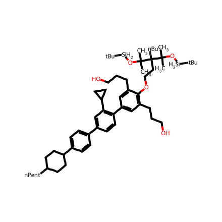 CCCCCC1CCC(c2ccc(-c3ccc(-c4cc(CCCO)c(OCCC(CCCC)(C(C)(C)O[SiH2]C(C)(C)C)C(C)(C)O[SiH2]C(C)(C)C)c(CCCO)c4)c(C4CC4)c3)cc2)CC1